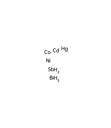 [BiH3].[Cd].[Co].[Hg].[Ni].[SbH3]